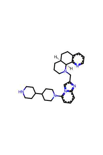 c1cnc2c(c1)CC[C@@H]1CCCN(Cc3cn4c(N5CCC(C6CCNCC6)CC5)cccc4n3)[C@H]21